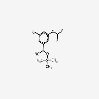 C[Si](C)(C)OC(C#N)c1cc(Cl)cc(OC(F)F)c1